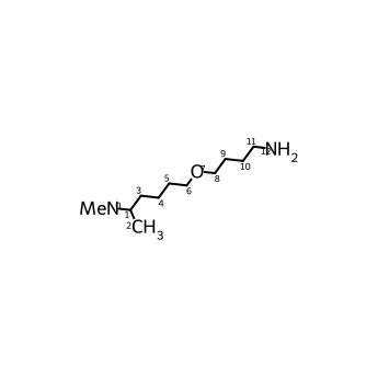 CNC(C)CCCCOCCCCN